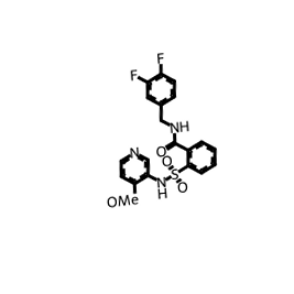 COc1ccncc1NS(=O)(=O)c1ccccc1C(=O)NCc1ccc(F)c(F)c1